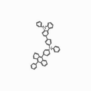 c1ccc(-c2c3ccccc3c(-c3ccc(N(c4ccccc4)c4ccc(-c5ccc6c(c5)c5ccccc5n6-c5ccccc5)cc4)cc3)c3ccccc23)cc1